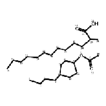 CCCCC1CCC(OC(C)=O)CC1.CCCCCCCCCCCC(C)C(=O)O